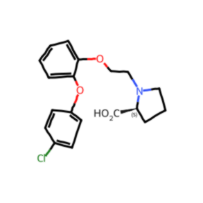 O=C(O)[C@@H]1CCCN1CCOc1ccccc1Oc1ccc(Cl)cc1